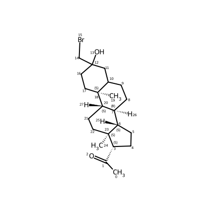 CC(=O)[C@H]1CC[C@H]2[C@@H]3CCC4CC(O)(CBr)CC[C@]4(C)[C@H]3CC[C@]12C